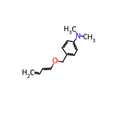 C=CC=COCc1ccc(N(C)C)cc1